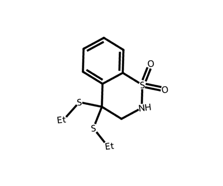 CCSC1(SCC)CNS(=O)(=O)c2ccccc21